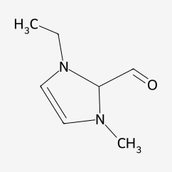 CCN1C=CN(C)C1C=O